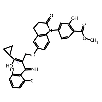 COC(=O)c1ccc(N2C(=O)CCc3cc(OC/C(C(=N)c4c(Cl)cccc4Cl)=C(/O)C4CC4)ccc32)cc1O